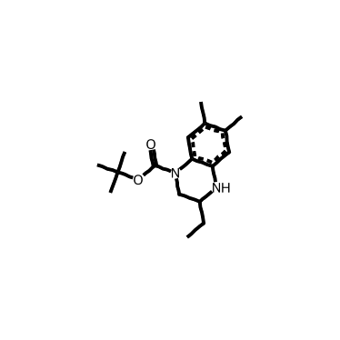 CCC1CN(C(=O)OC(C)(C)C)c2cc(C)c(C)cc2N1